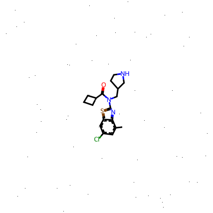 Cc1cc(Cl)cc2sc(N(CC3CCNC3)C(=O)C3CCC3)nc12